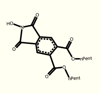 CCCCCOC(=O)c1cc2c(cc1C(=O)OCCCCC)C(=O)N(O)C2=O